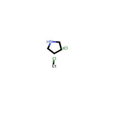 C1CCNC1.CCCl.Cl